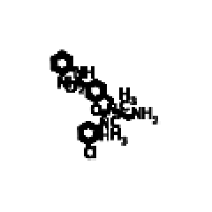 CC(C)(CN)N(Cc1ccc(C(=O)Nc2ccccc2N)cc1)C(=O)Nc1cccc(Cl)c1